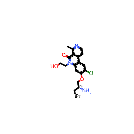 Cc1nccc2c1c(=O)n(CCO)c1cc(OC[C@@H](N)CC(C)C)c(Cl)cc21